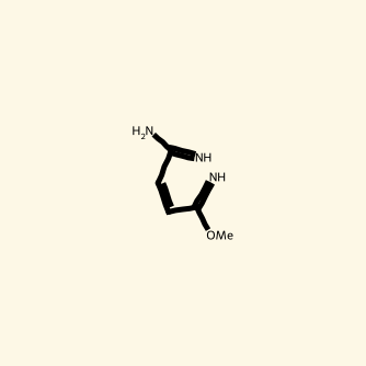 COC(=N)/C=C\C(=N)N